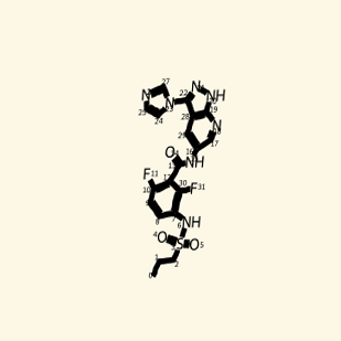 CCCS(=O)(=O)Nc1ccc(F)c(C(=O)Nc2cnc3[nH]nc(-n4ccnc4)c3c2)c1F